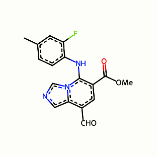 COC(=O)c1cc(C=O)c2cncn2c1Nc1ccc(C)cc1F